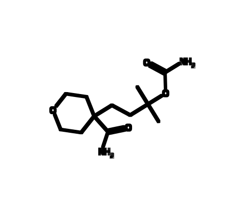 CC(C)(CCC1(C(N)=O)CCOCC1)OC(N)=O